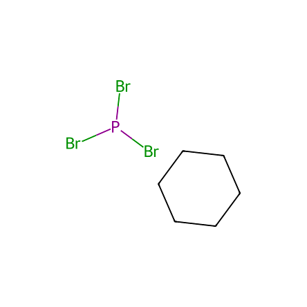 BrP(Br)Br.C1CCCCC1